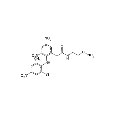 Cc1cc([N+](=O)[O-])cc(Cl)c1Nc1c(CC(=O)NCCO[N+](=O)[O-])cc([N+](=O)[O-])cc1[N+](=O)[O-]